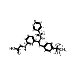 CC(C)(C)c1ccc(CC(NS(=O)(=O)c2cccnc2)c2cccc(NCC(=O)O)n2)cc1